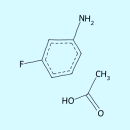 CC(=O)O.Nc1cccc(F)c1